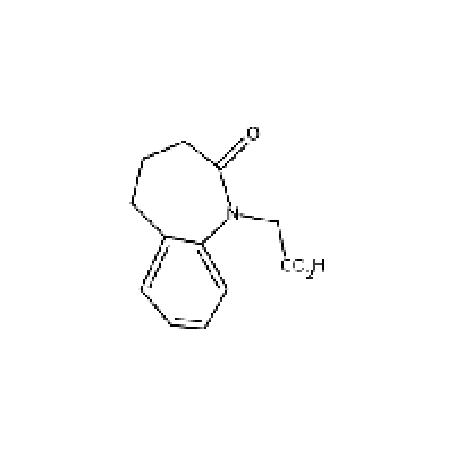 O=C(O)CN1C(=O)CCCc2ccccc21